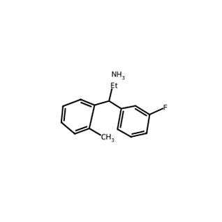 CCC(c1cccc(F)c1)c1ccccc1C.N